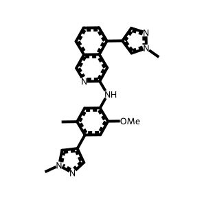 COc1cc(-c2cnn(C)c2)c(C)cc1Nc1cc2c(-c3cnn(C)c3)cccc2cn1